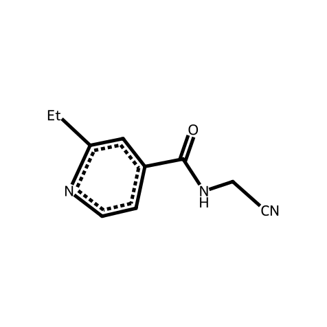 CCc1cc(C(=O)NCC#N)ccn1